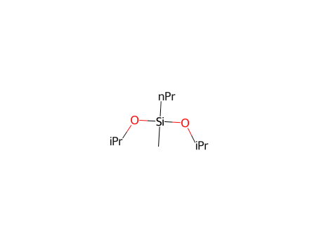 CCC[Si](C)(OC(C)C)OC(C)C